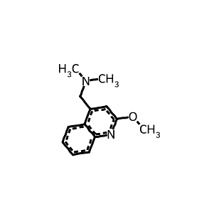 COc1cc(CN(C)C)c2ccccc2n1